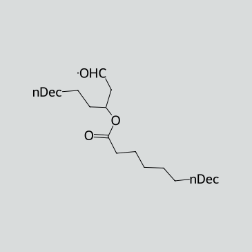 CCCCCCCCCCCCCCCC(=O)OC(C[C]=O)CCCCCCCCCCCC